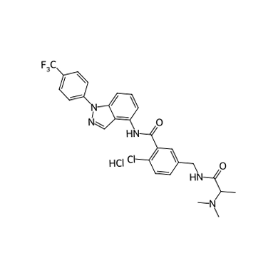 CC(C(=O)NCc1ccc(Cl)c(C(=O)Nc2cccc3c2cnn3-c2ccc(C(F)(F)F)cc2)c1)N(C)C.Cl